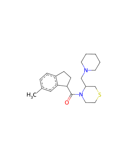 Cc1ccc2c(c1)C(C(=O)N1CCSCC1CN1CCCCC1)CC2